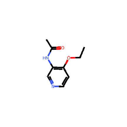 CCOc1ccn[c]c1NC(C)=O